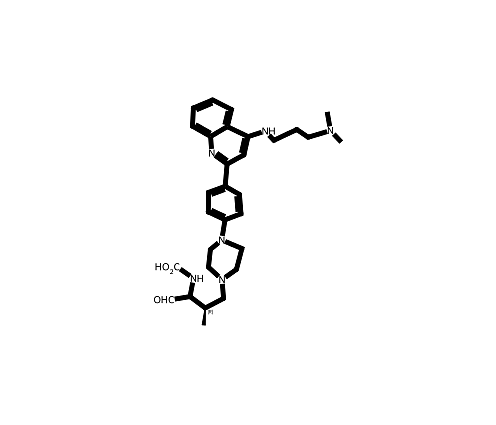 C[C@H](CN1CCN(c2ccc(-c3cc(NCCCN(C)C)c4ccccc4n3)cc2)CC1)C(C=O)NC(=O)O